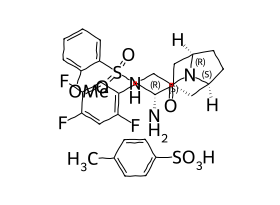 COc1ccccc1S(=O)(=O)NCC(=O)N1[C@@H]2CC[C@H]1C[C@H]([C@H](N)Cc1cc(F)c(F)cc1F)C2.Cc1ccc(S(=O)(=O)O)cc1